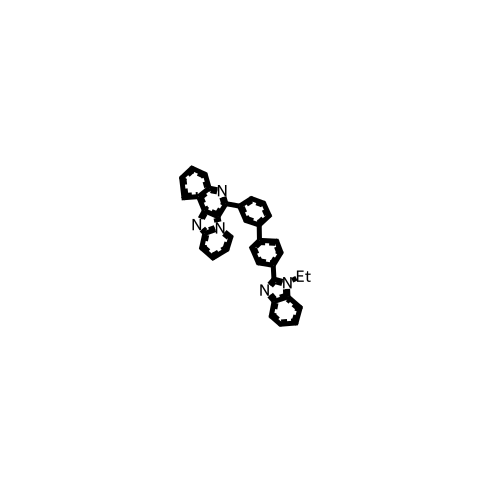 CCn1c(-c2ccc(-c3cccc(-c4nc5ccccc5c5nc6ccccn6c45)c3)cc2)nc2ccccc21